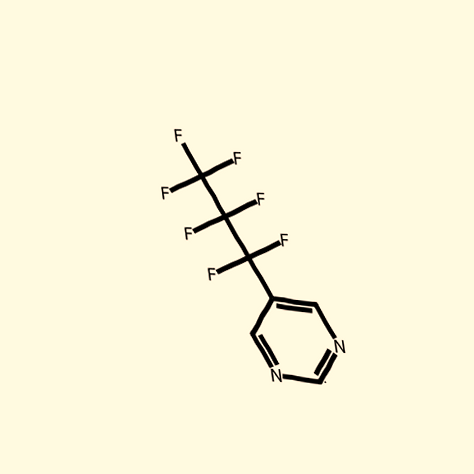 FC(F)(F)C(F)(F)C(F)(F)c1cn[c]nc1